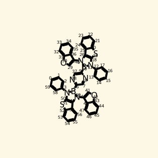 c1ccc(N2B(c3cnc(B4N(c5ccccc5)c5sc6ccccc6c5N4c4coc5ccccc45)cn3)N(c3coc4ccccc34)c3c2sc2ccccc32)cc1